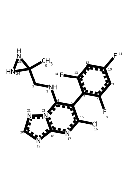 CC1(CNc2c(-c3c(F)cc(F)cc3F)c(Cl)nc3ncnn23)NN1